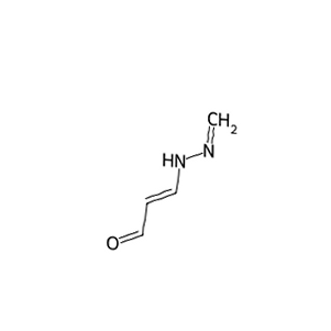 C=NN/C=C/C=O